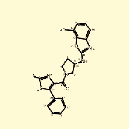 Cc1nc(C(=O)N2CC[C@@H](Nc3nc4cccc(F)c4o3)C2)c(-c2ccccc2)s1